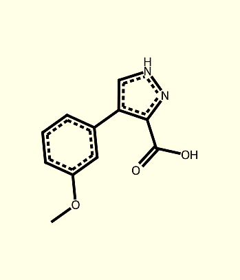 COc1cccc(-c2c[nH]nc2C(=O)O)c1